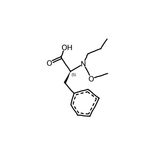 CCCN(OC)[C@@H](Cc1ccccc1)C(=O)O